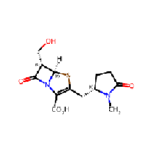 CN1C(=O)CC[C@H]1CC1=C(C(=O)O)N2C(=O)[C@H](CO)[C@H]2S1